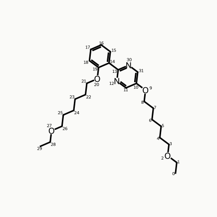 CCOCCCCCCOc1cnc(-c2ccccc2OCCCCCCOCC)nc1